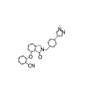 Cn1cc(-c2ccc(CN3Cc4cccc(Oc5ccccc5C#N)c4C3=O)cc2)cn1